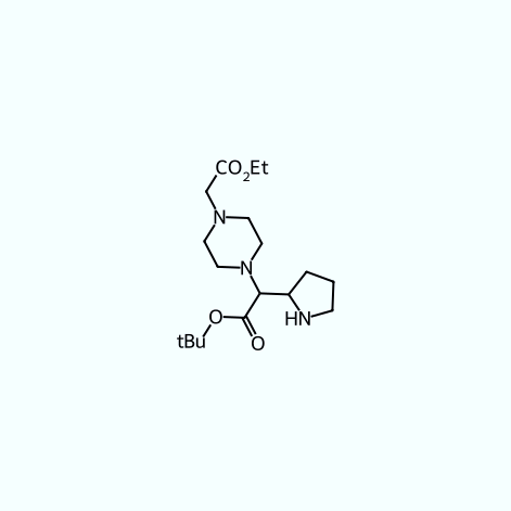 CCOC(=O)CN1CCN(C(C(=O)OC(C)(C)C)C2CCCN2)CC1